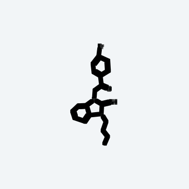 CCCCn1c(=N)n(CC(=O)c2ccc(Br)cc2)c2ccccc21